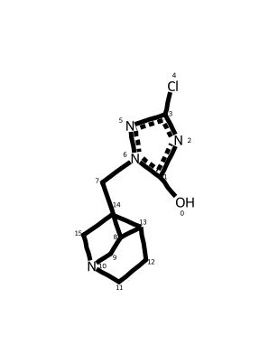 Oc1nc(Cl)nn1CC1CN2CCC1CC2